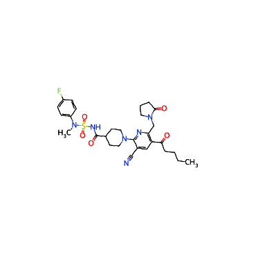 CCCCC(=O)c1cc(C#N)c(N2CCC(C(=O)NS(=O)(=O)N(C)c3ccc(F)cc3)CC2)nc1CN1CCCC1=O